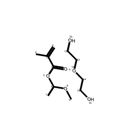 C=C(C)C(=O)OC(C)OC.OCCOCCO